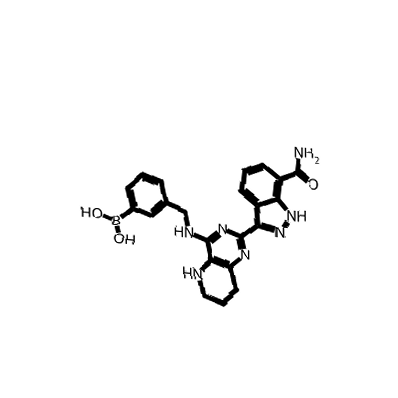 NC(=O)c1cccc2c(-c3nc4c(c(NCc5cccc(B(O)O)c5)n3)NCCC4)n[nH]c12